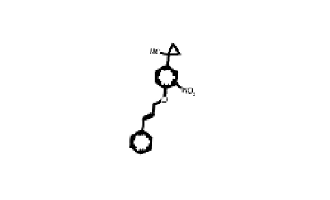 N#CC1(c2ccc(OC/C=C/c3ccccc3)c([N+](=O)[O-])c2)CC1